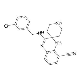 N#Cc1cccc2c1NC1(CCNCC1)C(NCc1cccc(Cl)c1)=N2